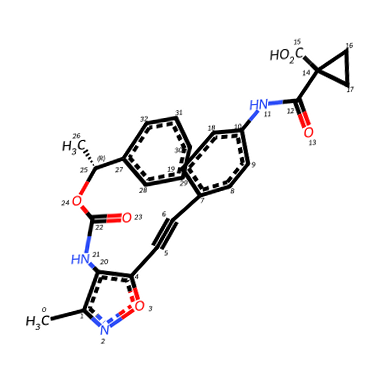 Cc1noc(C#Cc2ccc(NC(=O)C3(C(=O)O)CC3)cc2)c1NC(=O)O[C@H](C)c1ccccc1